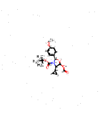 COc1ccc(C2OC(OC=O)C(C3CC3)N2C(=O)OC(C)(C)C)cc1